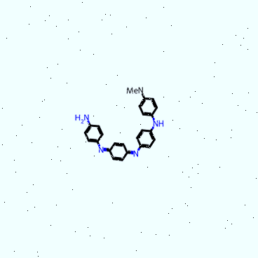 CNc1ccc(Nc2ccc(N=C3C=CC(=Nc4ccc(N)cc4)C=C3)cc2)cc1